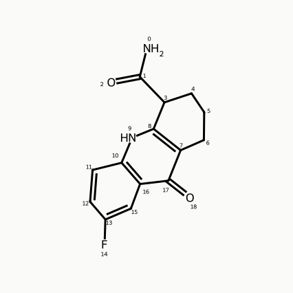 NC(=O)C1CCCc2c1[nH]c1ccc(F)cc1c2=O